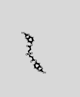 O=C(CCS(=O)(=O)CCC(=O)Oc1ccc2nc(S)sc2c1)Oc1ccc2nc(S)sc2c1